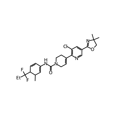 CCC(F)(F)C1C=CC(NC(=O)N2CC=C(c3ncc(C4=NC(C)(C)CO4)cc3Cl)CC2)=CC1C